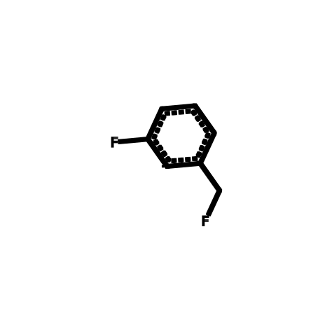 FCc1[c]c(F)ccc1